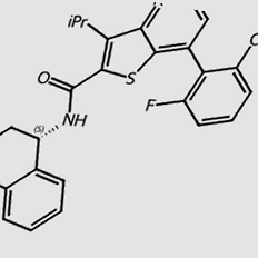 CC(C)c1c(C(=O)N[C@H]2CCOc3ccccc32)sc2c(-c3c(F)cccc3Cl)ccnc12